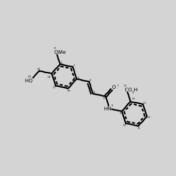 COc1cc(/C=C/C(=O)Nc2ccccc2C(=O)O)ccc1CO